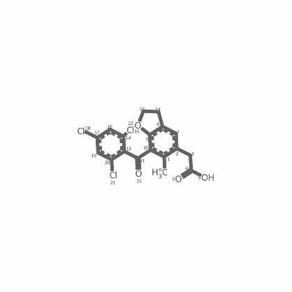 Cc1c(CC(=O)O)cc2c(c1C(=O)c1c(Cl)cc(Cl)cc1Cl)OCC2